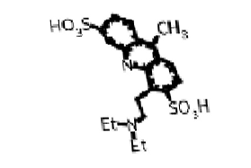 CCN(CC)CCc1c(S(=O)(=O)O)ccc2c(C)c3ccc(S(=O)(=O)O)cc3nc12